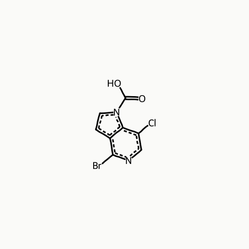 O=C(O)n1ccc2c(Br)ncc(Cl)c21